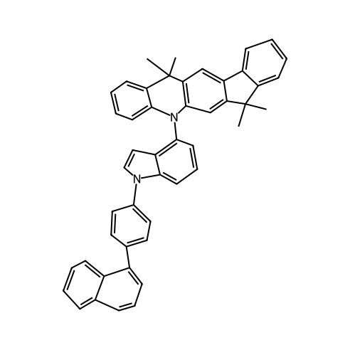 CC1(C)c2ccccc2-c2cc3c(cc21)N(c1cccc2c1ccn2-c1ccc(-c2cccc4ccccc24)cc1)c1ccccc1C3(C)C